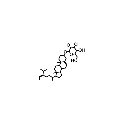 C/C=C(\CCC(C)C1CCC2C3CC=C4CC(OC5OC(CO)C(O)C(O)C5O)CCC4(C)C3CCC12C)C(C)C